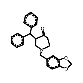 O=C1CCN(Cc2ccc3c(c2)OCO3)CC1C(c1ccccc1)c1ccccc1